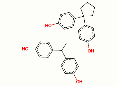 CC(c1ccc(O)cc1)c1ccc(O)cc1.Oc1ccc(C2(c3ccc(O)cc3)CCCC2)cc1